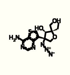 CC[C@]1(CO)OC[C@@](N=[N+]=[N-])(c2csc3c(N)ncnc23)[C@@H]1O